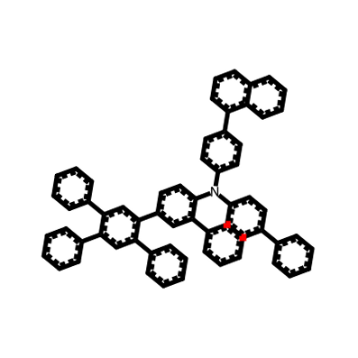 c1ccc(-c2ccc(N(c3ccc(-c4cccc5ccccc45)cc3)c3ccc(-c4cc(-c5ccccc5)c(-c5ccccc5)cc4-c4ccccc4)cc3-c3ccccc3)cc2)cc1